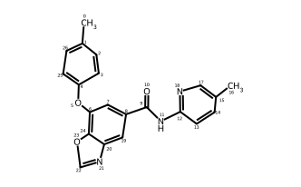 Cc1ccc(Oc2cc(C(=O)Nc3ccc(C)cn3)cc3ncoc23)cc1